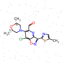 Cc1cnc(-c2noc3c(Cl)c(N4C[C@@H](C)O[C@@H](C)C4)c(C=O)nc23)s1